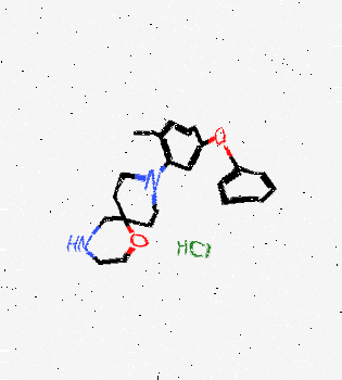 Cc1ccc(Oc2ccccc2)cc1N1CCC2(CC1)CNCCO2.Cl